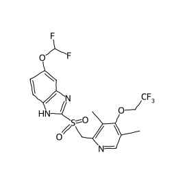 Cc1cnc(CS(=O)(=O)c2nc3cc(OC(F)F)ccc3[nH]2)c(C)c1OCC(F)(F)F